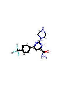 NC(=O)c1cc(-c2ccc(C(F)(F)F)cc2)nc(N2CCNCC2)n1